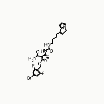 NC(=O)c1c(OCc2c(F)cc(Br)cc2F)nsc1NC(=O)NCCCCC1=CCn2cccc21